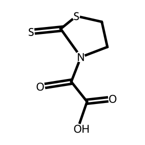 O=C(O)C(=O)N1CCSC1=S